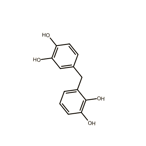 Oc1ccc(Cc2cccc(O)c2O)cc1O